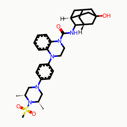 C[C@@H]1CN(c2ccc(N3CCN(C(=O)NC4[C@@H]5CC6C[C@H]4CC(O)(C6)C5)c4ccccc43)cc2)C[C@H](C)N1S(C)(=O)=O